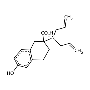 C=CCN(CC=C)C1(C(=O)O)CCc2cc(O)ccc2C1